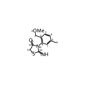 COCc1ccc(C)cc1N1C(=N)SCC1=O